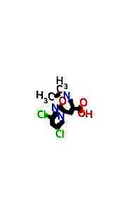 CC(C)Oc1nc2c(Cl)cc(Cl)cn2c1/C=C(\C#N)C(=O)O